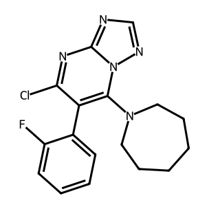 Fc1ccccc1-c1c(Cl)nc2ncnn2c1N1CCCCCC1